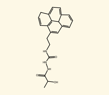 CC(O)C(=O)NNC(=O)NCCC1=CC2=CC=CC3=CC=C4CC=CC1=C4C32